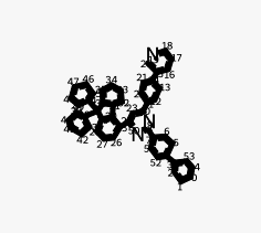 c1ccc(-c2ccc(-c3nc(-c4ccc(-c5cccnc5)cc4)cc(-c4cccc5c4-c4ccccc4C5(c4ccccc4)c4ccccc4)n3)cc2)cc1